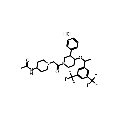 CC(=O)NC1CCN(CC(=O)N2CCC(OC(C)c3cc(C(F)(F)F)cc(C(F)(F)F)c3)C(c3ccccc3)C2)CC1.Cl